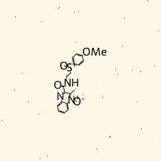 COc1ccc([S+]([O-])CCNC(=O)c2nc3ccccc3[n+]([O-])c2C)cc1